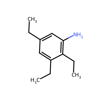 CCc1cc(N)c(CC)c(CC)c1